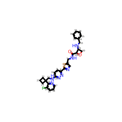 O=C(NCc1cnc(-c2ccc(NCC3(c4ncccc4F)CCC3)nn2)s1)C1OCC1NCc1ccccc1